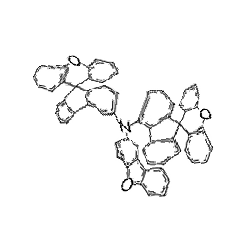 c1ccc2c(c1)Oc1ccccc1C21c2ccccc2-c2cc(N(c3ccc4oc5ccccc5c4c3)c3cccc4c3-c3ccccc3C43c4ccccc4Oc4ccccc43)ccc21